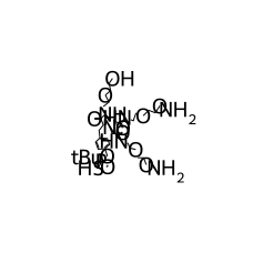 CC(C)(C)P(=O)(S)Oc1ccc(CC(C(=O)NCCOCCO)N(CC(=O)NCCOCCON)CC(=O)NCCOCCON)cc1